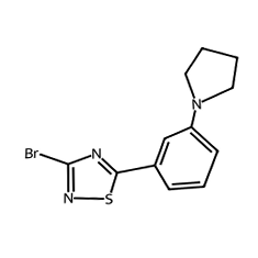 Brc1nsc(-c2cccc(N3CCCC3)c2)n1